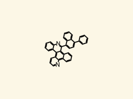 c1ccc(-c2ccc(-c3nc4ccccc4c4c5cccnc5c5ccccc5c34)c3ccccc23)cc1